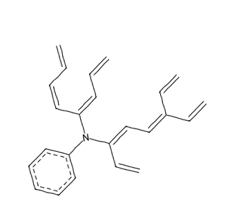 C=C/C=C\C(=C/C=C)N(/C(C=C)=C/C=C(C=C)C=C)c1ccccc1